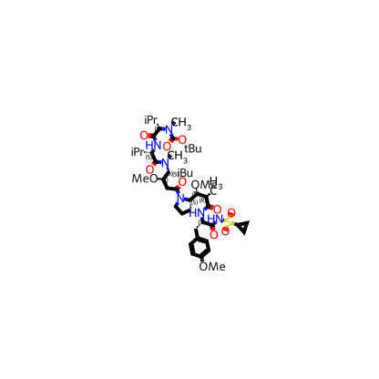 CC[C@H](C)[C@@H]([C@@H](CC(=O)N1CCC[C@H]1[C@H](OC)[C@@H](C)C(=O)N[C@@H](Cc1ccc(OC)cc1)C(=O)NS(=O)(=O)C1CC1)OC)N(C)C(=O)[C@@H](NC(=O)[C@H](C(C)C)N(C)C(=O)OC(C)(C)C)C(C)C